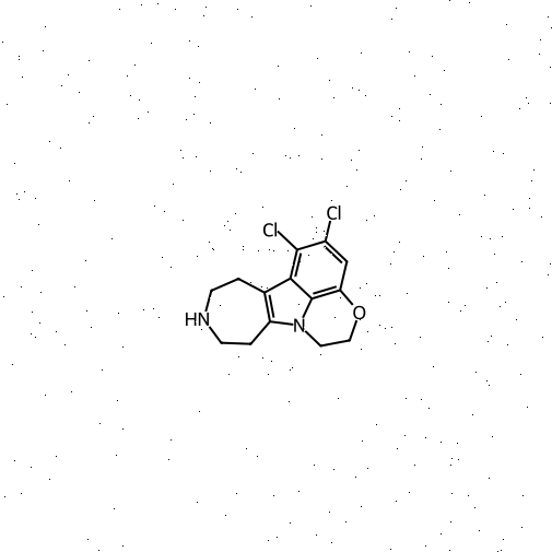 Clc1cc2c3c(c1Cl)c1c(n3CCO2)CCNCC1